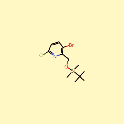 CC(C)(C)[Si](C)(C)OCc1nc(Cl)ccc1Br